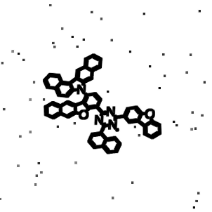 CN1C(c2cccc3ccccc23)=NC(c2ccc(-n3c4cc5ccccc5cc4c4c5ccccc5ccc43)c3c2oc2cc4ccccc4cc23)=NC1c1ccc2oc3ccccc3c2c1